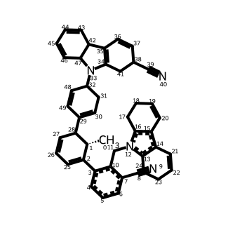 C[C@@H]1C(c2cccc(C#N)c2Cn2c3c(c4c2CCC=C4)C=CCC3)=CC=CC1C1=CCC(N2C3=C(C=CC(C#N)C3)C3C=CC=CC32)C=C1